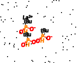 CC(C)(C)[PH](=O)[O-].CC(C)(C)[PH](=O)[O-].CC(C)(C)[PH](=O)[O-].[La+3]